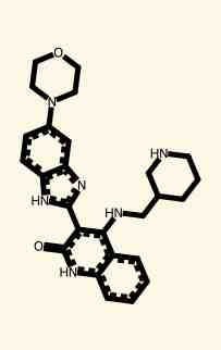 O=c1[nH]c2ccccc2c(NCC2CCCNC2)c1-c1nc2cc(N3CCOCC3)ccc2[nH]1